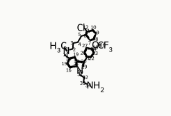 CN(CCCCc1ccccc1Cl)Cc1ccc2c(c1)c(-c1ccc(OC(F)(F)F)cc1)cn2CCCN